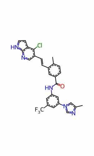 Cc1cn(-c2cc(NC(=O)c3ccc(C)c(C=Cc4cnc5[nH]ccc5c4Cl)c3)cc(C(F)(F)F)c2)cn1